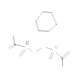 C1CCCCC1.CC(=O)S(=O)(=O)OOS(=O)(=O)C(C)=O